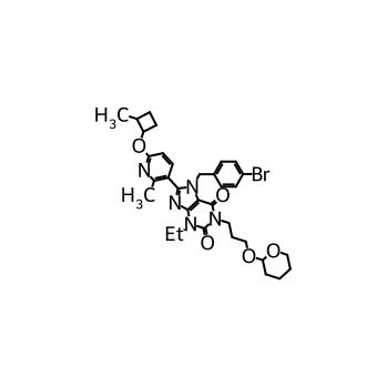 CCn1c(=O)n(CCCOC2CCCCO2)c(=O)c2c1nc(-c1ccc(OC3CCC3C)nc1C)n2Cc1ccc(Br)cc1